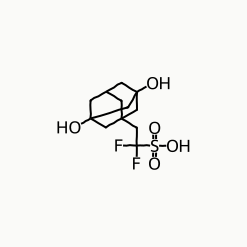 O=S(=O)(O)C(F)(F)CC12CC3CC(O)(CC(O)(C3)C1)C2